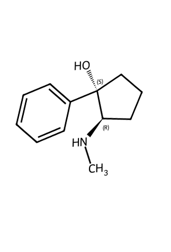 CN[C@@H]1CCC[C@]1(O)c1ccccc1